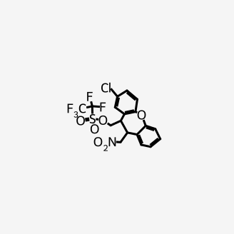 O=[N+]([O-])CC1c2ccccc2Oc2ccc(Cl)cc2C1COS(=O)(=O)C(F)(F)C(F)(F)F